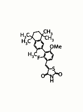 COc1ccc(/C=C2\SC(=O)NC2=O)c(F)c1-c1cc2c(cc1C)C(C)(C)CCC2(C)C